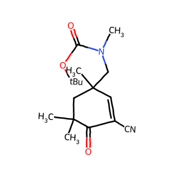 CN(CC1(C)C=C(C#N)C(=O)C(C)(C)C1)C(=O)OC(C)(C)C